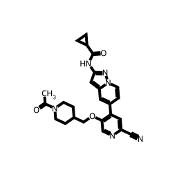 CC(=O)N1CCC(COc2cnc(C#N)cc2-c2ccn3nc(NC(=O)C4CC4)cc3c2)CC1